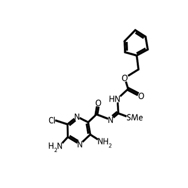 CS/C(=N/C(=O)c1nc(Cl)c(N)nc1N)NC(=O)OCc1ccccc1